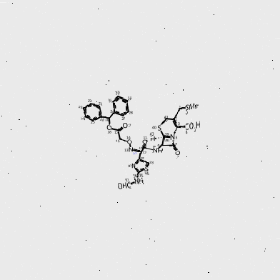 CSCC1=C(C(=O)O)N2C(=O)C(NC(=O)/C(=N\OCC(=O)OC(c3ccccc3)c3ccccc3)c3csc(NC=O)n3)[C@H]2SC1